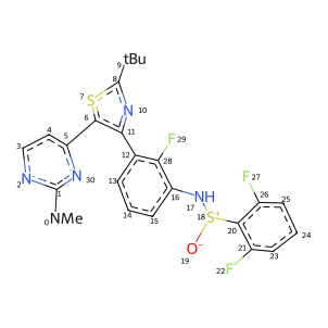 CNc1nccc(-c2sc(C(C)(C)C)nc2-c2cccc(N[S+]([O-])c3c(F)cccc3F)c2F)n1